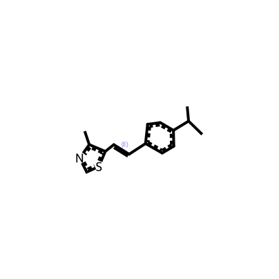 Cc1ncsc1/C=C/c1ccc(C(C)C)cc1